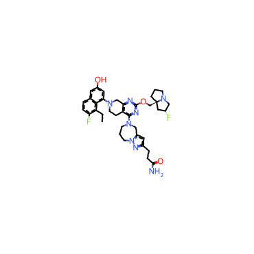 CCc1c(F)ccc2cc(O)cc(N3CCc4c(nc(OC[C@@]56CCCN5C[C@H](F)C6)nc4N4CCCn5nc(CCC(N)=O)cc5C4)C3)c12